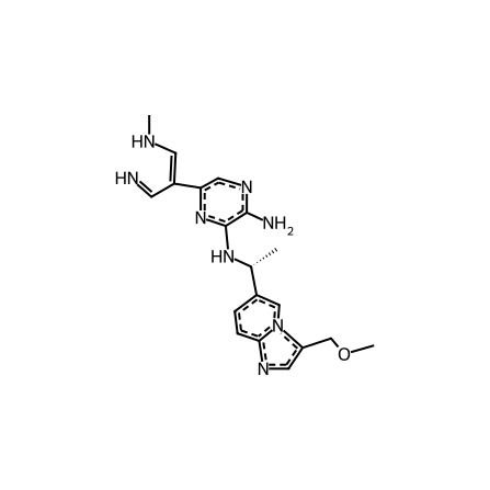 CN/C=C(\C=N)c1cnc(N)c(N[C@H](C)c2ccc3ncc(COC)n3c2)n1